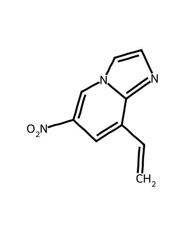 C=Cc1cc([N+](=O)[O-])cn2ccnc12